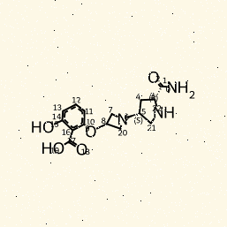 NC(=O)[C@H]1C[C@H](N2CC(Oc3cccc(O)c3C(=O)O)C2)CN1